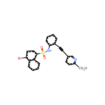 O=C(O)c1ccc(C#Cc2ccccc2NS(=O)(=O)c2ccc(Br)c3ccccc23)cn1